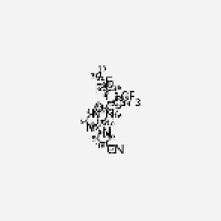 C[C@@H](c1nccnc1-c1ccc(C#N)cn1)N(CC1CC1)C(=O)c1cc(C(F)(F)F)cc(C(F)(F)C2CC2)c1